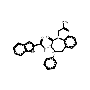 NC(=O)CN1C(=O)[C@@H](NC(=O)c2cc3ccccc3[nH]2)[C@@H](c2ccccc2)Cc2ccccc21